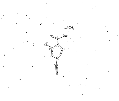 CCNC(=O)c1ccc(C#N)cc1Cl